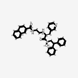 CN(CC(c1ccccc1)c1ccccc1)C(=O)[C@H](Cc1cccnc1)NCCNC(=O)c1ccc2ccccc2c1